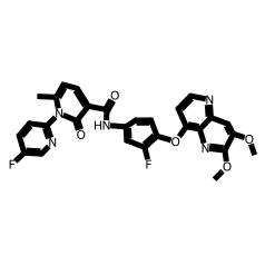 COc1cc2nccc(Oc3ccc(NC(=O)c4ccc(C)n(-c5ccc(F)cn5)c4=O)cc3F)c2nc1OC